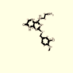 COc1ccc(CSc2nc(NCCN)c3ncc(=O)[nH]c3n2)cc1Cl